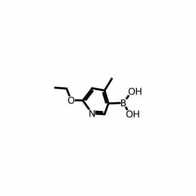 CCOc1cc(C)c(B(O)O)cn1